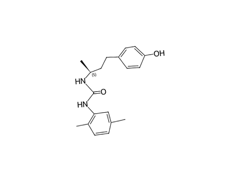 Cc1ccc(C)c(NC(=O)N[C@@H](C)CCc2ccc(O)cc2)c1